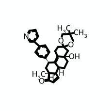 CC1(C)COC2(CCC3=C4[C@@H](CC[C@@]3(O)C2)[C@@H]2C=CC(=O)[C@@]2(C)C[C@@H]4c2ccc(-c3cccnc3)cc2)OC1